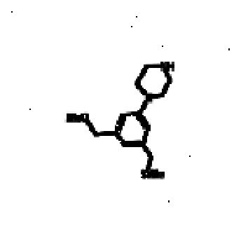 COCc1cc(COC)cc(N2CCNCC2)c1